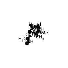 CC(C)(C)C(O)(CCc1ccc(Cl)cc1)Cn1cncn1.CON(C(=O)c1cn(C)nc1C(F)F)C(C)Cc1c(Cl)cc(Cl)cc1Cl.Cc1cc(C2CC2)nc(Nc2ccccc2)n1